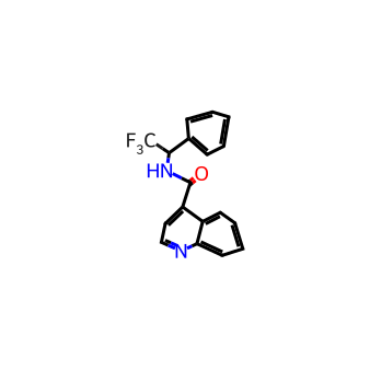 O=C(NC(c1ccccc1)C(F)(F)F)c1ccnc2ccccc12